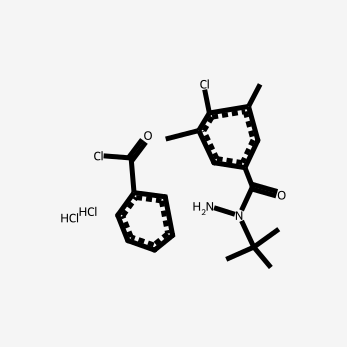 Cc1cc(C(=O)N(N)C(C)(C)C)cc(C)c1Cl.Cl.Cl.O=C(Cl)c1ccccc1